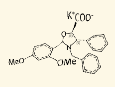 COc1ccc(C2O[C@@H](C(=O)[O-])[C@H](c3ccccc3)N2Cc2ccccc2)c(OC)c1.[K+]